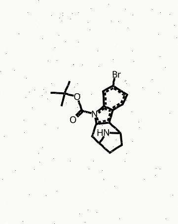 CC(C)(C)OC(=O)n1c2c(c3ccc(Br)cc31)C1CCC(C2)N1